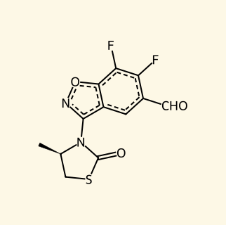 C[C@@H]1CSC(=O)N1c1noc2c(F)c(F)c(C=O)cc12